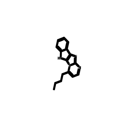 CCCCc1ccnc2nc3c4ccccc4[nH]c3n12